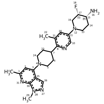 Cc1cc(N2CCC(c3ncc(N4CC[C@@H](N)[C@@H](F)C4)cc3C)CC2)c2cnn(C)c2n1